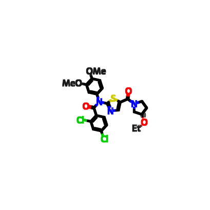 CCO[C@H]1CCN(C(=O)c2cnc(N(C(=O)c3ccc(Cl)cc3Cl)c3ccc(OC)c(OC)c3)s2)C1